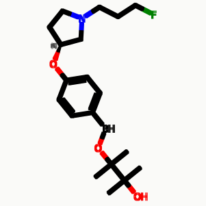 CC(C)(O)C(C)(C)OBc1ccc(O[C@H]2CCN(CCCF)C2)cc1